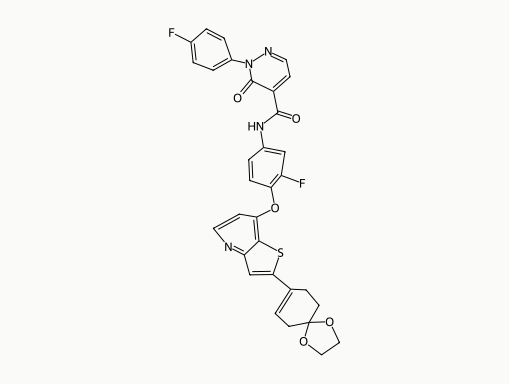 O=C(Nc1ccc(Oc2ccnc3cc(C4=CCC5(CC4)OCCO5)sc23)c(F)c1)c1ccnn(-c2ccc(F)cc2)c1=O